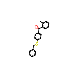 Cc1ccccc1C(=O)c1ccc(SCc2ccccc2)cc1